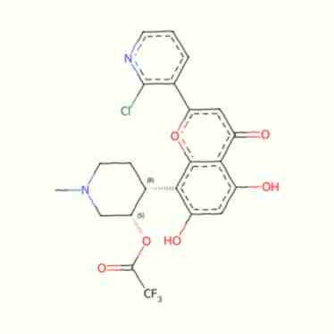 CN1CC[C@H](c2c(O)cc(O)c3c(=O)cc(-c4cccnc4Cl)oc23)[C@H](OC(=O)C(F)(F)F)C1